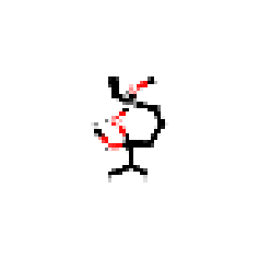 C=C[Si]1(OC)CCCC(OC)(C(C)C)O1